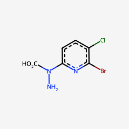 NN(C(=O)O)c1ccc(Cl)c(Br)n1